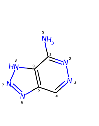 Nc1nncc2nn[nH]c12